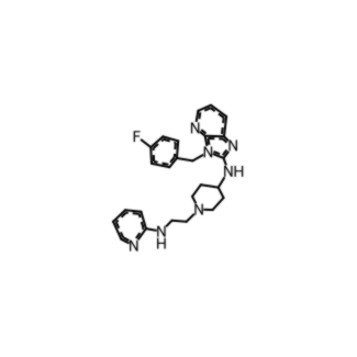 Fc1ccc(Cn2c(NC3CCN(CCNc4ccccn4)CC3)nc3cccnc32)cc1